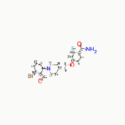 NC(=O)c1ccc(OCCC2CCN(c3cccc(Br)c3C=O)CC2)cc1F